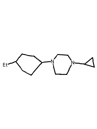 CCC1CCC(N2CCN(C3CC3)CC2)CC1